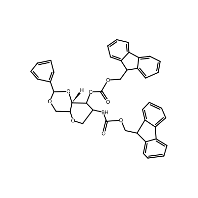 O=C(BC1COC2COC(c3ccccc3)O[C@@H]2C1OC(=O)OCC1c2ccccc2-c2ccccc21)OCC1c2ccccc2-c2ccccc21